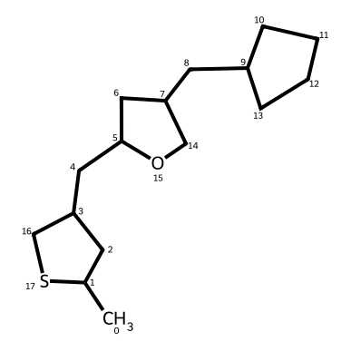 CC1CC(CC2CC(CC3CCCC3)CO2)CS1